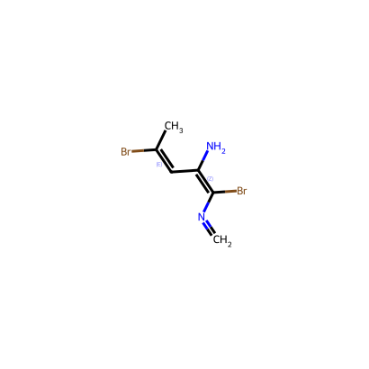 C=N/C(Br)=C(N)\C=C(/C)Br